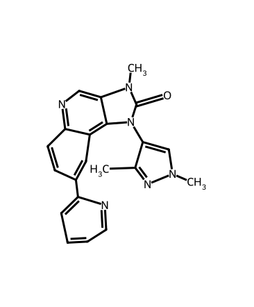 Cc1nn(C)cc1-n1c(=O)n(C)c2cnc3ccc(-c4ccccn4)cc3c21